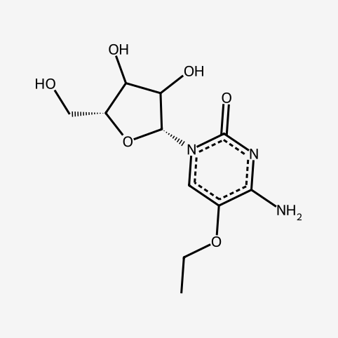 CCOc1cn([C@@H]2O[C@H](CO)C(O)C2O)c(=O)nc1N